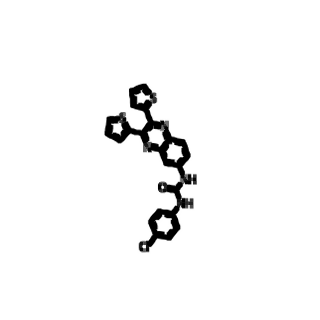 O=C(Nc1ccc(Cl)cc1)Nc1ccc2nc(-c3cccs3)c(-c3cccs3)nc2c1